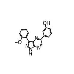 COc1ccccc1-c1n[nH]c2ncc(-c3cccc(O)c3)nc12